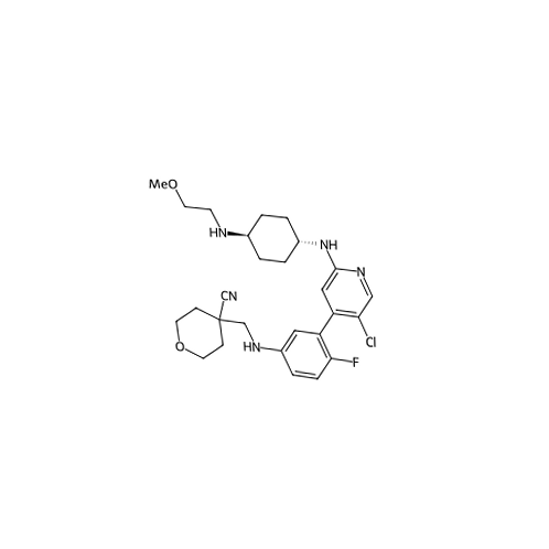 COCCN[C@H]1CC[C@H](Nc2cc(-c3cc(NCC4(C#N)CCOCC4)ccc3F)c(Cl)cn2)CC1